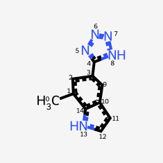 Cc1cc(-c2nnn[nH]2)cc2cc[nH]c12